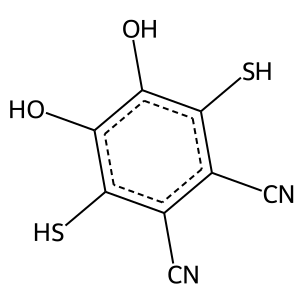 N#Cc1c(S)c(O)c(O)c(S)c1C#N